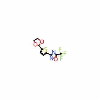 FC(F)(F)c1nc(-c2ccc(C3OCCO3)s2)no1